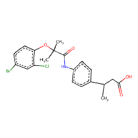 CC(CC(=O)O)c1ccc(NC(=O)C(C)(C)Oc2ccc(Br)cc2Cl)cc1